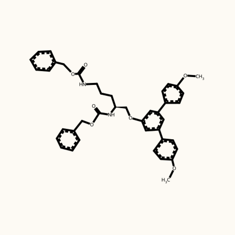 COc1ccc(-c2cc(OC[C@H](CCCNC(=O)OCc3ccccc3)NC(=O)OCc3ccccc3)cc(-c3ccc(OC)cc3)c2)cc1